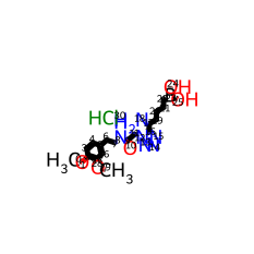 COc1ccc(CCNC(=O)Cn2nnnc2C(N)CCCCB(O)O)cc1OC.Cl